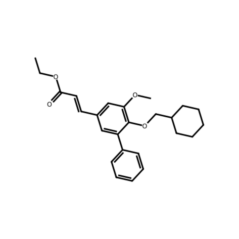 CCOC(=O)/C=C/c1cc(OC)c(OCC2CCCCC2)c(-c2ccccc2)c1